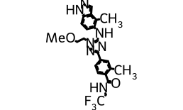 COCCn1nc(-c2ccc(C(=O)NCC(F)(F)F)c(C)c2)nc1Nc1ccc2[nH]ncc2c1C